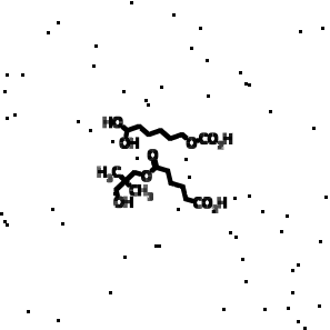 CC(C)(CO)COC(=O)CCCCC(=O)O.O=C(O)OCCCCCC(O)O